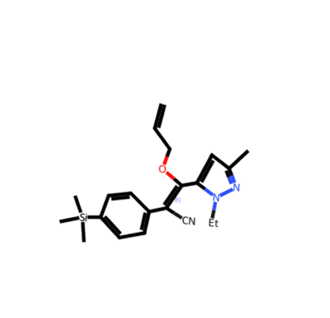 C=CCO/C(=C(/C#N)c1ccc([Si](C)(C)C)cc1)c1cc(C)nn1CC